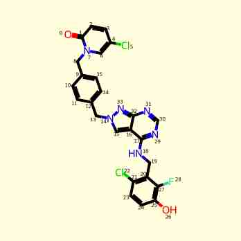 O=c1ccc(Cl)cn1Cc1ccc(Cn2cc3c(NCc4c(Cl)ccc(O)c4F)ncnc3n2)cc1